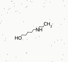 [CH2]CCNCCCCCO